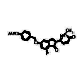 COc1ccc(COc2cc(F)c3c(c2)CC(c2ccc(=O)n(C)n2)C3=O)cc1